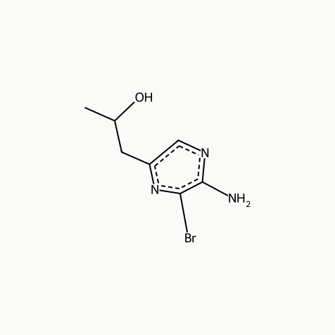 CC(O)Cc1cnc(N)c(Br)n1